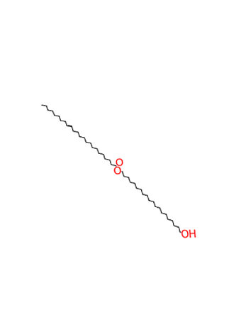 CCCCCCCCC=CCCCCCCCCCCCCCC(=O)OCCCCCCCCCCCCCCCCCCCCO